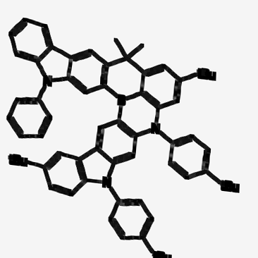 CC(C)(C)c1ccc(N2c3cc4c(cc3B3c5cc6c(cc5C(C)(C)c5cc(C(C)(C)C)cc2c53)c2ccccc2n6-c2ccccc2)c2cc(C(C)(C)C)ccc2n4-c2ccc(C(C)(C)C)cc2)cc1